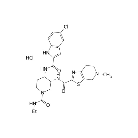 CCNC(=O)N1CC[C@H](NC(=O)c2cc3cc(Cl)ccc3[nH]2)[C@H](NC(=O)c2nc3c(s2)CN(C)CC3)C1.Cl